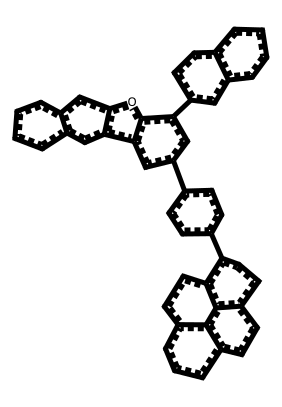 c1ccc2cc(-c3cc(-c4ccc(-c5ccc6ccc7cccc8ccc5c6c78)cc4)cc4c3oc3cc5ccccc5cc34)ccc2c1